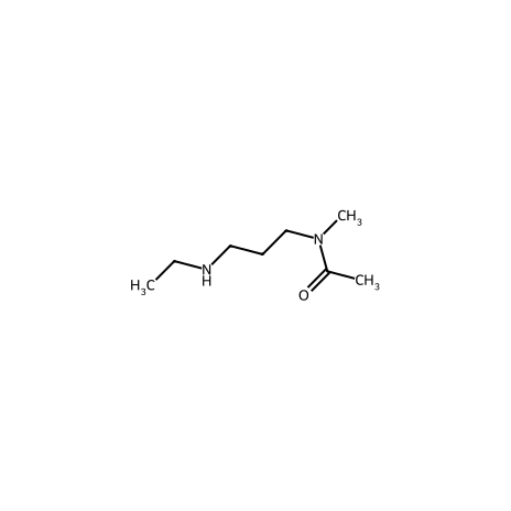 CCNCCCN(C)C(C)=O